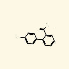 CC(=O)c1ccc(-c2ccccc2C(N)=O)cc1